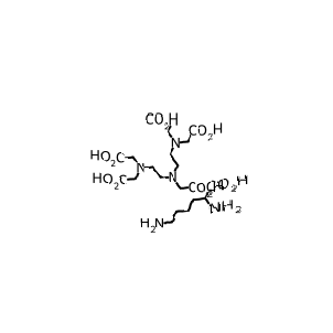 NCCCC[C@H](N)C(=O)O.O=C(O)CN(CCN(CC(=O)O)CC(=O)O)CCN(CC(=O)O)CC(=O)O